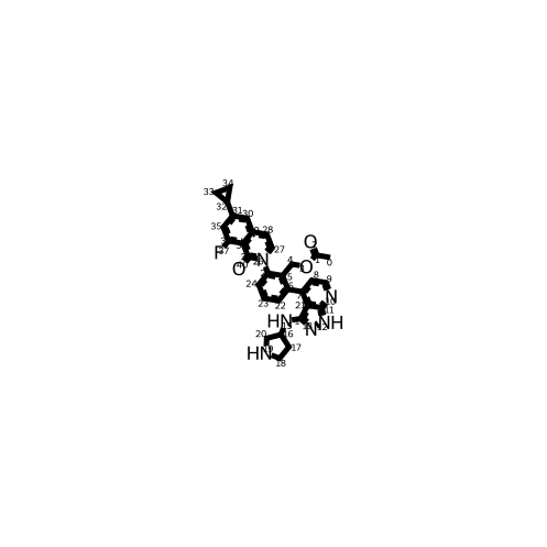 CC(=O)OCc1c(-c2ccnc3[nH]nc(NC4CCNC4)c23)cccc1-n1ccc2cc(C3CC3)cc(F)c2c1=O